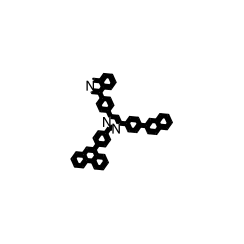 c1ccc2cc(-c3ccc(-c4cc(-c5ccc(-c6cncc7ccccc67)cc5)nc(-c5ccc(-c6cc7ccccc7c7ccccc67)cc5)n4)cc3)ccc2c1